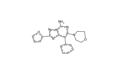 Nc1nc(N2CCOCC2)c(-c2ccccc2)c2nc(-c3ccco3)nn12